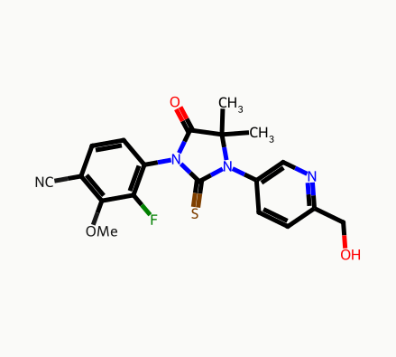 COc1c(C#N)ccc(N2C(=O)C(C)(C)N(c3ccc(CO)nc3)C2=S)c1F